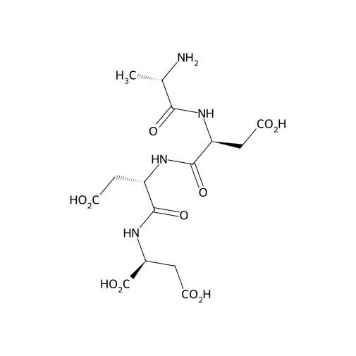 C[C@H](N)C(=O)N[C@@H](CC(=O)O)C(=O)N[C@@H](CC(=O)O)C(=O)N[C@@H](CC(=O)O)C(=O)O